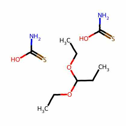 CCOC(CC)OCC.NC(O)=S.NC(O)=S